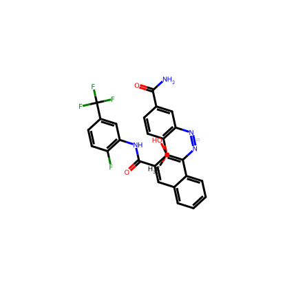 COc1ccc(C(N)=O)cc1/N=N\c1c(O)c(C(=O)Nc2cc(C(F)(F)F)ccc2F)cc2ccccc12